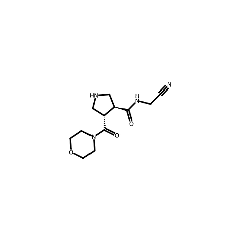 N#CCNC(=O)[C@@H]1CNC[C@H]1C(=O)N1CCOCC1